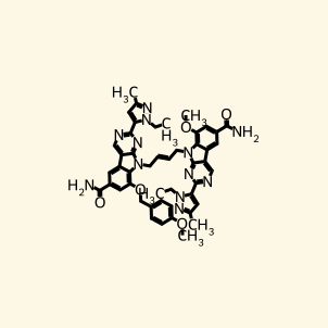 CCn1nc(C)cc1-c1ncc2c3cc(C(N)=O)cc(OC)c3n(C/C=C/Cn3c4nc(-c5cc(C)nn5CC)ncc4c4cc(C(N)=O)cc(OCc5ccc(OC)cc5)c43)c2n1